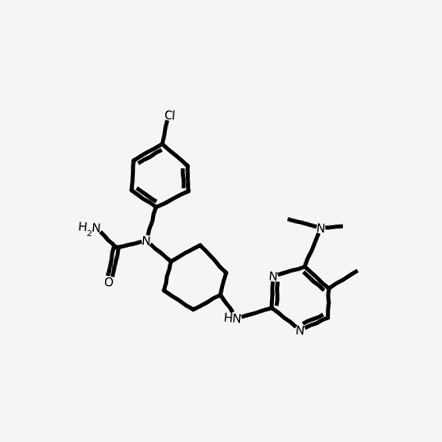 Cc1cnc(NC2CCC(N(C(N)=O)c3ccc(Cl)cc3)CC2)nc1N(C)C